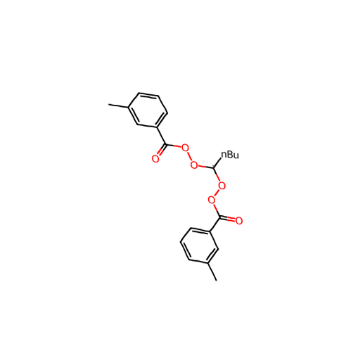 [CH2]CCC[C](OOC(=O)c1cccc(C)c1)OOC(=O)c1cccc(C)c1